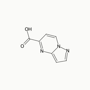 O=C(O)c1ccn2nccc2n1